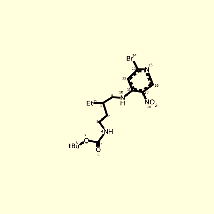 CCC(CCNC(=O)OC(C)(C)C)CNc1cc(Br)ncc1[N+](=O)[O-]